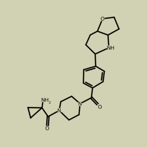 NC1(C(=O)N2CCN(C(=O)c3ccc(C4CCC5OCCC5N4)cc3)CC2)CC1